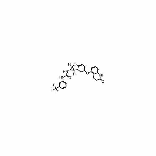 O=C1CCc2c(OC3=CC=C4O[C@@H]5[C@@H](NC(=O)Nc6cc(C(F)(F)F)ccn6)[C@@H]5C4C3)ccnc2N1